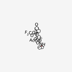 CC(=O)OC[C@]1(OC(=O)NC23CC4CC(CC(C4)C2)C3)C(=O)[C@@]2(C)C[C@H](OC(=O)C(F)(F)F)[C@@]3(F)C(CCC4=CC(=O)C=C[C@@]43C)C2C[C@@H]1C